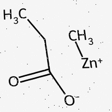 CCC(=O)[O-].[CH3][Zn+]